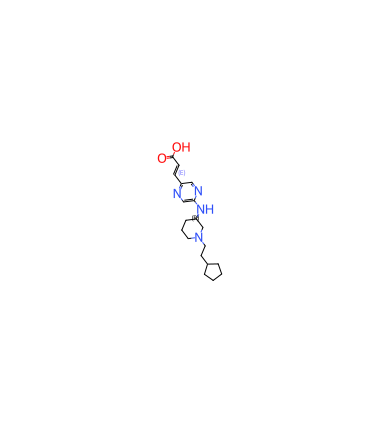 O=C(O)/C=C/c1cnc(N[C@@H]2CCCN(CCC3CCCC3)C2)cn1